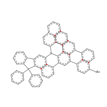 CC(C)(C)c1ccc(-c2cc(-c3ccccc3)c(N(c3ccc4c(c3)-c3ccccc3C4(c3ccccc3)c3ccccc3)c3ccc4ccccc4c3-c3ccc(-c4ccccc4)cc3)c(-c3ccccc3)c2)cc1